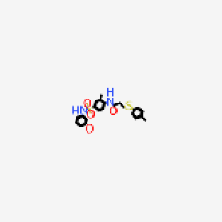 COc1cccc(NS(=O)(=O)c2ccc(NC(=O)CCSc3ccc(C)cc3)c(C)c2)c1